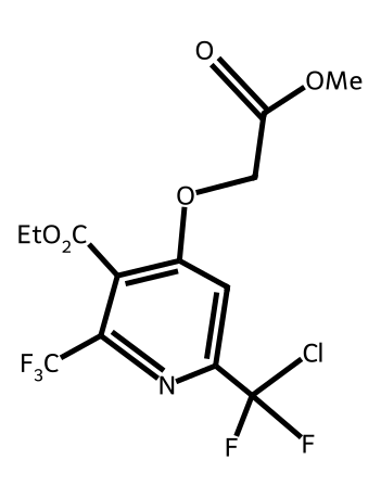 CCOC(=O)c1c(OCC(=O)OC)cc(C(F)(F)Cl)nc1C(F)(F)F